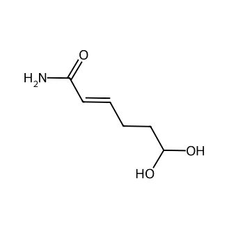 NC(=O)C=CCCC(O)O